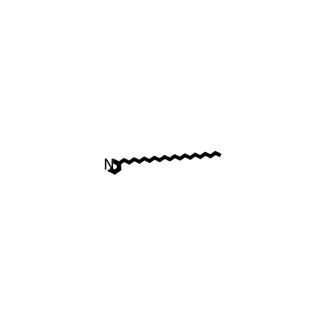 CCCCCCCCCCCCCCCCCCCCc1cccnc1